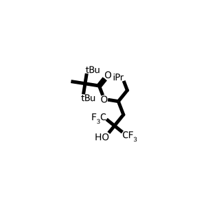 CC(C)CC(CC(O)(C(F)(F)F)C(F)(F)F)OC(=O)C(C)(C(C)(C)C)C(C)(C)C